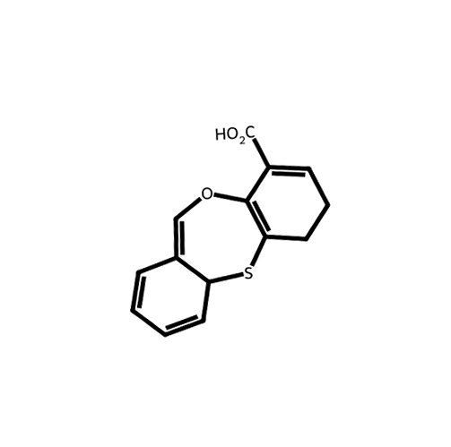 O=C(O)C1=CCCC2=C1OC=C1C=CC=CC1S2